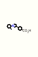 Cc1ccccc1-n1ccc(-c2ccc(C(=O)O)cc2)c1